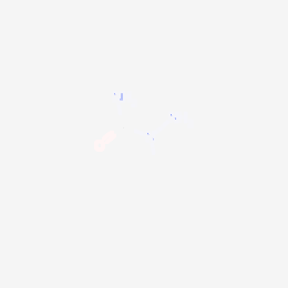 CC(I)(I)N(N)C(N)=O